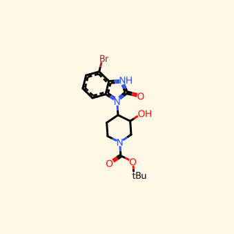 CC(C)(C)OC(=O)N1CCC(n2c(=O)[nH]c3c(Br)cccc32)C(O)C1